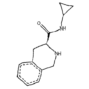 O=C(NC1CC1)[C@@H]1Cc2ccccc2CN1